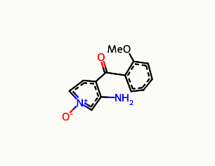 COc1ccccc1C(=O)c1cc[n+]([O-])cc1N